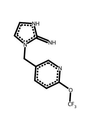 N=c1[nH]ccn1Cc1ccc(OC(F)(F)F)nc1